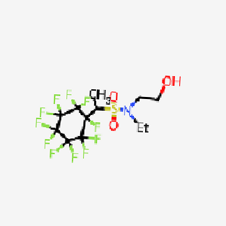 CCN(CCO)S(=O)(=O)C(C)C1(F)C(F)(F)C(F)(F)C(F)(F)C(F)(F)C1(F)F